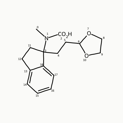 CN(C(=O)O)C1(CCC2OCCO2)CCc2ccccc21